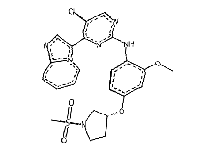 COc1cc(O[C@@H]2CCN(S(C)(=O)=O)C2)ccc1Nc1ncc(Cl)c(-c2cnc3ccccn23)n1